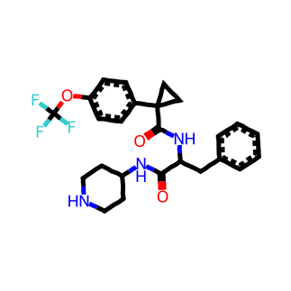 O=C(NC1CCNCC1)C(Cc1ccccc1)NC(=O)C1(c2ccc(OC(F)(F)F)cc2)CC1